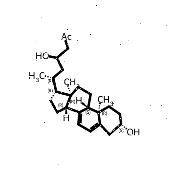 CC(=O)CC(O)C[C@@H](C)[C@H]1CC[C@H]2C3=CC=C4C[C@@H](O)CC[C@]4(C)[C@H]3CC[C@]12C